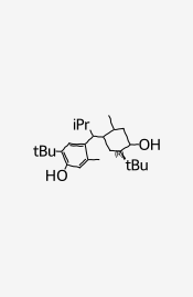 Cc1cc(O)c(C(C)(C)C)cc1C(C(C)C)C1C[C@H](C(C)(C)C)C(O)CC1C